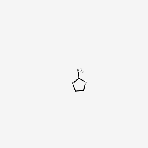 O=[N+]([O-])C1SCCS1